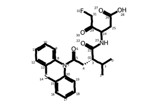 CC(C)[C@H](CC(=O)N1c2ccccc2Sc2ccccc21)C(=O)NC(CC(=O)O)C(=O)CF